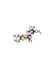 CC[C@H]1O[C@@H](n2cc(C)c(=O)[nH]c2=O)C[C@@H]1OP1(=S)OC(C)C(C)S1